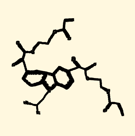 C=CC(=O)OCCOC(=O)C(=O)c1ccc2c(c1)c1cc(C(=O)C(=O)OCCOC(=O)C=C)ccc1n2CC(CC)CCCC